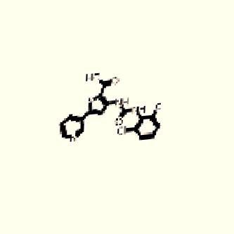 O=C(Nc1cc(-c2cccnc2)sc1C(=O)O)Nc1c(Cl)cccc1Cl